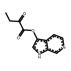 CCC(=O)C(=O)Oc1c[nH]c2cnccc12